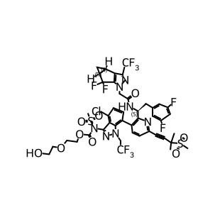 CC(C)(C#Cc1ccc(-c2ccc(Cl)c3c(N(C(=O)OCCOCCO)S(C)(=O)=O)nn(CC(F)(F)F)c23)c([C@H](Cc2cc(F)cc(F)c2)NC(=O)Cn2nc(C(F)(F)F)c3c2C(F)(F)[C@@H]2C[C@H]32)n1)S(C)(=O)=O